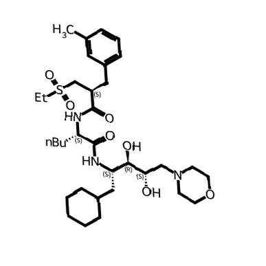 CCCC[C@H](NC(=O)[C@H](Cc1cccc(C)c1)CS(=O)(=O)CC)C(=O)N[C@@H](CC1CCCCC1)[C@@H](O)[C@@H](O)CN1CCOCC1